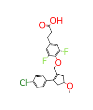 COC1CC(COc2c(F)cc(CCC(=O)O)cc2F)=C(c2ccc(Cl)cc2)C1